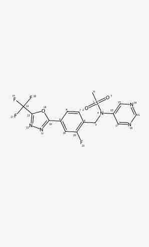 CS(=O)(=O)N(Cc1ccc(-c2nnc(C(F)(F)F)o2)cc1F)c1cncnc1